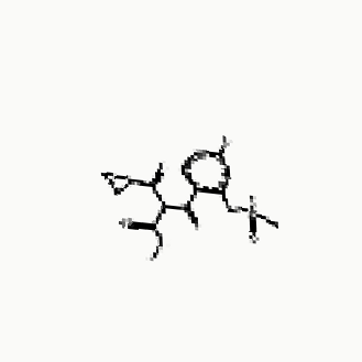 CCOC(=N)C(C(=O)c1ccc(Br)cc1CS(C)(=O)=O)C(=O)C1CC1